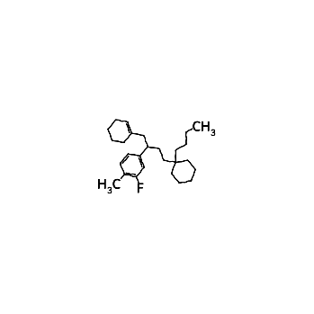 CCCCC1(CCC(CC2=CCCCC2)c2ccc(C)c(F)c2)CCCCC1